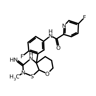 CN1SC2OCCCC2(c2cc(NC(=O)c3ccc(F)cn3)ccc2F)NC1=N